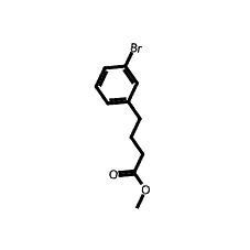 COC(=O)CCCc1cccc(Br)c1